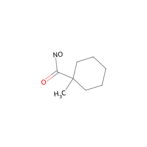 CC1(C(=O)N=O)CCCCC1